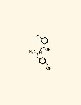 CC(Cc1ccc(CO)cc1)NCC(O)c1cccc(Cl)c1